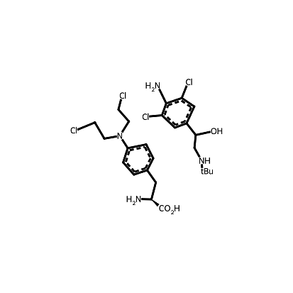 CC(C)(C)NCC(O)c1cc(Cl)c(N)c(Cl)c1.N[C@@H](Cc1ccc(N(CCCl)CCCl)cc1)C(=O)O